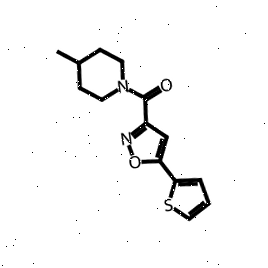 CC1CCN(C(=O)c2cc(-c3cccs3)on2)CC1